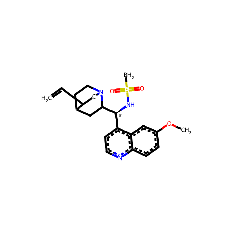 BS(=O)(=O)N[C@@H](c1ccnc2ccc(OC)cc12)C1CC2CCN1CC2C=C